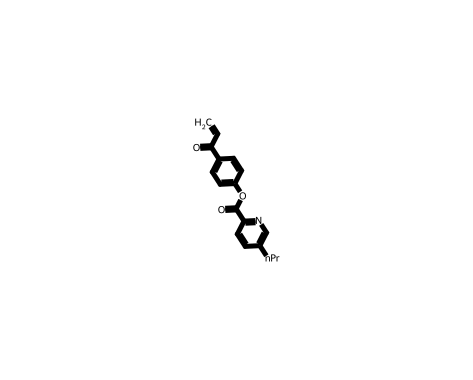 C=CC(=O)c1ccc(OC(=O)c2ccc(CCC)cn2)cc1